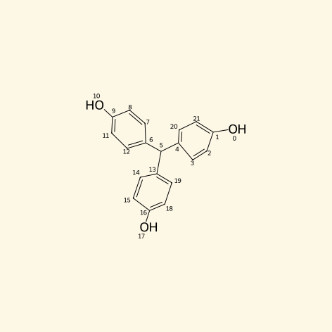 Oc1ccc(C(c2ccc(O)cc2)c2ccc(O)cc2)cc1